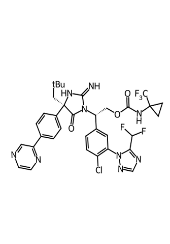 CC(C)(C)C[C@]1(c2ccc(-c3cnccn3)cc2)NC(=N)N([C@H](COC(=O)NC2(C(F)(F)F)CC2)c2ccc(Cl)c(-n3ncnc3C(F)F)c2)C1=O